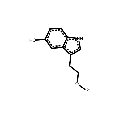 CC(C)OCCc1c[nH]c2ccc(O)cc12